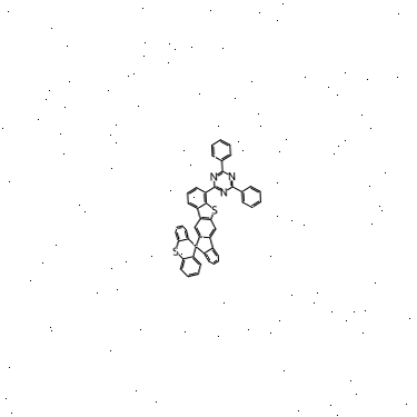 c1ccc(-c2nc(-c3ccccc3)nc(-c3cccc4c3sc3cc5c(cc34)C3(c4ccccc4Sc4ccccc43)c3ccccc3-5)n2)cc1